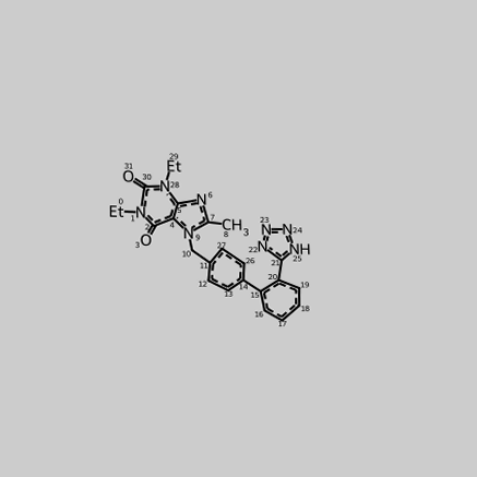 CCn1c(=O)c2c(nc(C)n2Cc2ccc(-c3ccccc3-c3nnn[nH]3)cc2)n(CC)c1=O